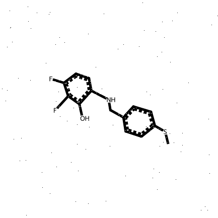 CSc1ccc(CNc2ccc(F)c(F)c2O)cc1